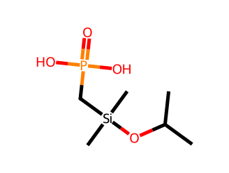 CC(C)O[Si](C)(C)CP(=O)(O)O